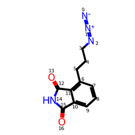 [N-]=[N+]=NCCCc1cccc2c1C(=O)NC2=O